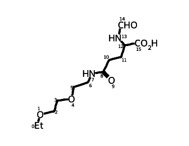 CCOCCOCCNC(=O)CCC(NC=O)C(=O)O